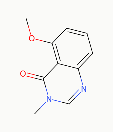 COc1cccc2ncn(C)c(=O)c12